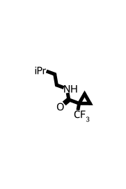 CC(C)CCNC(=O)C1(C(F)(F)F)CC1